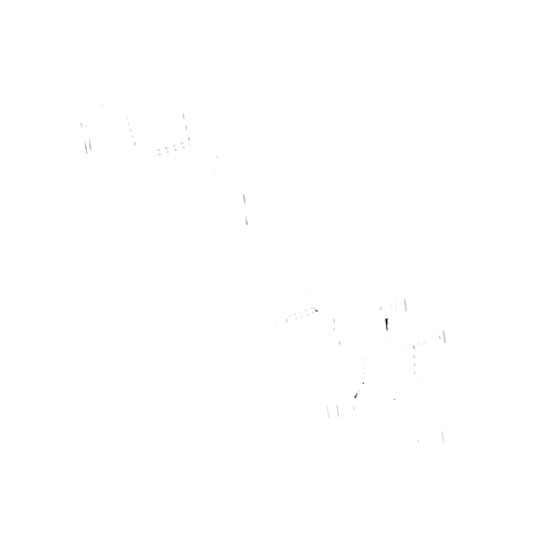 O=C(CO[C@H]1[C@H](O)[C@@H](CO)OC(O)[C@@H]1O)OCCCCCOc1ccc2ccccc2c1